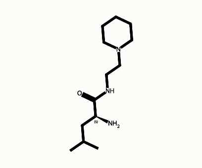 CC(C)C[C@H](N)C(=O)NCCN1CCCCC1